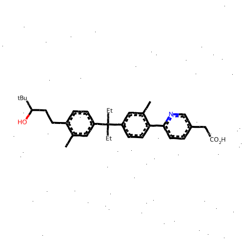 CCC(CC)(c1ccc(CCC(O)C(C)(C)C)c(C)c1)c1ccc(-c2ccc(CC(=O)O)cn2)c(C)c1